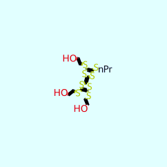 CCCSC1=C(SCCO)SC(=C2SC(SCCO)=C(SCCO)S2)S1